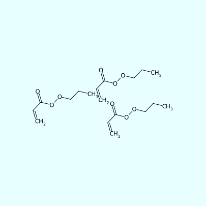 C=CC(=O)OOCCC.C=CC(=O)OOCCC.C=CC(=O)OOCCC